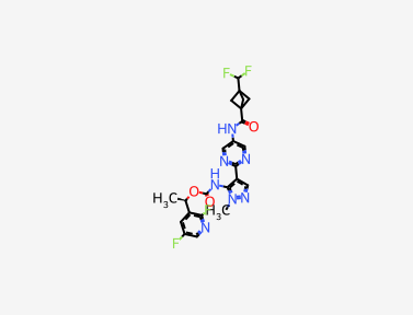 C[C@@H](OC(=O)Nc1c(-c2ncc(NC(=O)C34CC(C(F)F)(C3)C4)cn2)cnn1C)c1cc(F)cnc1F